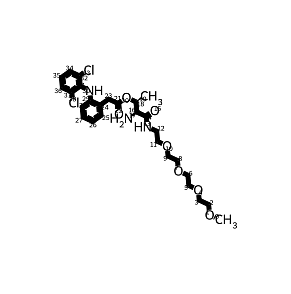 COCCOCCOCCOCCNC(=O)[C@@H](N)[C@@H](C)OC(=O)Cc1ccccc1Nc1c(Cl)cccc1Cl